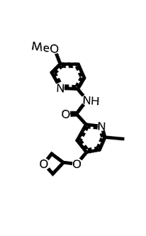 COc1ccc(NC(=O)c2cc(OC3COC3)cc(C)n2)nc1